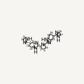 c1cc(-c2nc3cc(-c4ncc[nH]4)ccc3[nH]2)nc(-c2nc3cc(-c4ncc[nH]4)ccc3[nH]2)c1